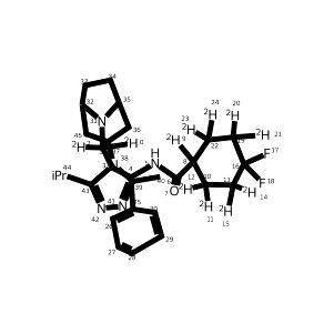 [2H]C([2H])(CC(NC(=O)C1([2H])C([2H])([2H])C([2H])([2H])C(F)(F)C([2H])([2H])C1([2H])[2H])c1ccccc1)N1C2CCC1CC(n1c(C)nnc1C(C)C)C2